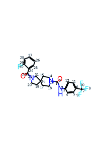 O=C(Nc1ccc(C(F)(F)F)cc1)N1CCC2(CC1)CCN(C(=O)c1ccccc1F)C2